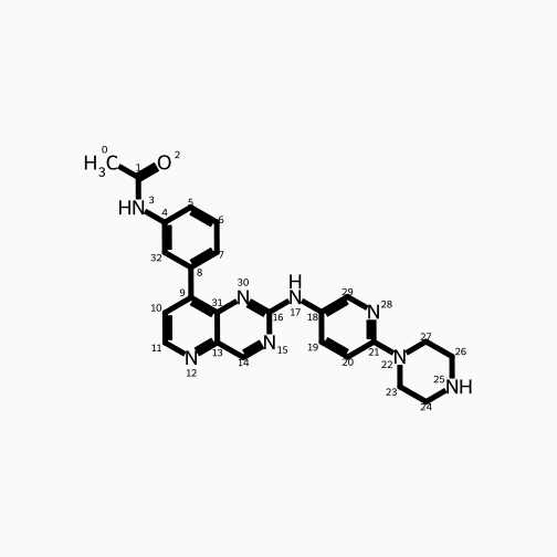 CC(=O)Nc1cccc(-c2ccnc3cnc(Nc4ccc(N5CCNCC5)nc4)nc23)c1